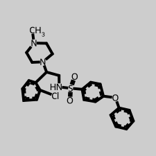 CN1CCN(C(CNS(=O)(=O)c2ccc(Oc3ccccc3)cc2)c2ccccc2Cl)CC1